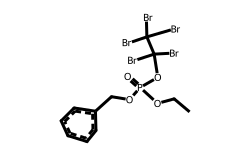 CCOP(=O)(OCc1ccccc1)OC(Br)(Br)C(Br)(Br)Br